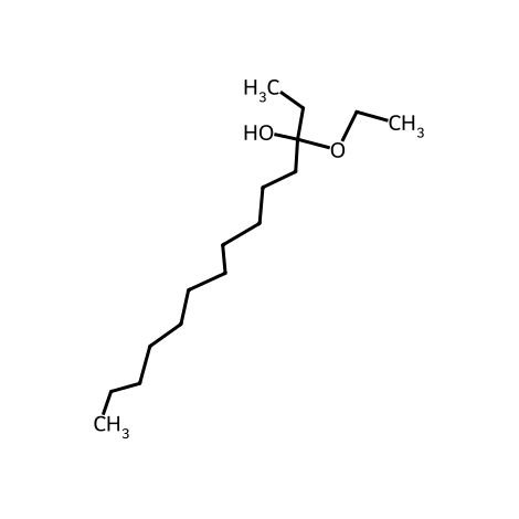 CCCCCCCCCCCC(O)(CC)OCC